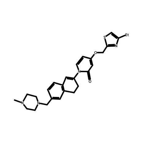 CCc1csc(COc2ccn(C3=Cc4ccc(CN5CCN(C)CC5)cc4CC3)c(=O)c2)n1